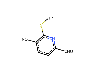 CC(C)Sc1nc(C=O)ccc1C#N